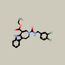 CCOC(=O)C1=CN(C(=O)NCc2ccc(Cl)c(Cl)c2)CCc2c1[nH]c1ccccc21